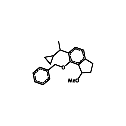 COC1CCc2ccc(C(C)C3CC3)c(OCc3ccccc3)c21